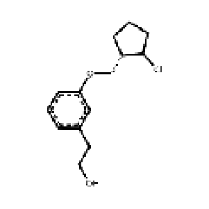 OCCc1cccc(OC[C@@H]2CCCC2Cl)c1